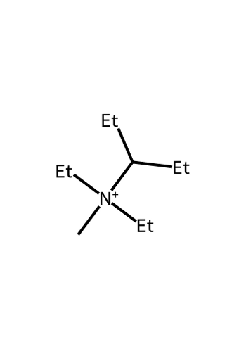 CCC(CC)[N+](C)(CC)CC